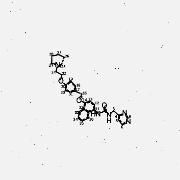 O=C(NCc1ccncn1)Nc1ccc(OCc2ccc(OCCN3CCCCC3)cc2)c2ccccc12